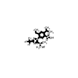 CCc1cc(C(C)C)c(S(=O)(=O)O)cc1-n1nc(C(F)(F)F)nc1N(C)C.F